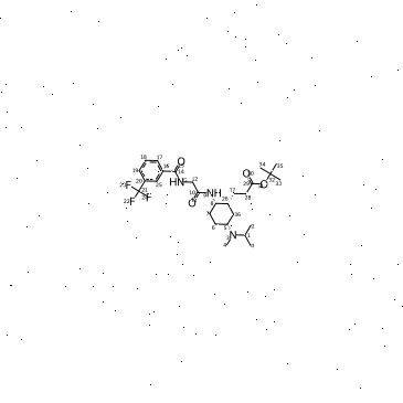 CC(C)N(C)[C@@H]1CC[C@H](NC(=O)CNC(=O)c2cccc(C(F)(F)F)c2)[C@H](CCC(=O)OC(C)(C)C)C1